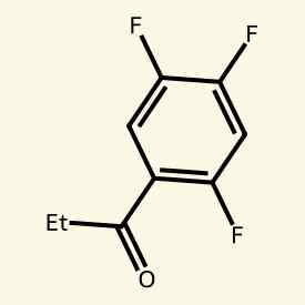 CCC(=O)c1cc(F)c(F)cc1F